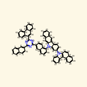 c1ccc2cc(-c3nc(-c4ccc5c(-n6c7cc(-n8c9ccccc9c9c%10ccccc%10ccc98)ccc7c7cc8ccccc8cc76)cccc5c4)nc(-c4cc5ccccc5c5ccccc45)n3)ccc2c1